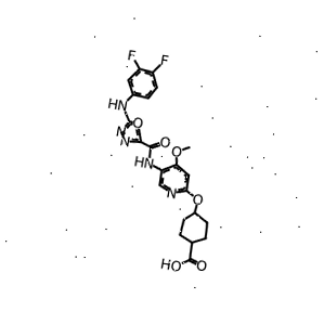 COc1cc(OC2CCC(C(=O)O)CC2)ncc1NC(=O)c1nnc(Nc2ccc(F)c(F)c2)o1